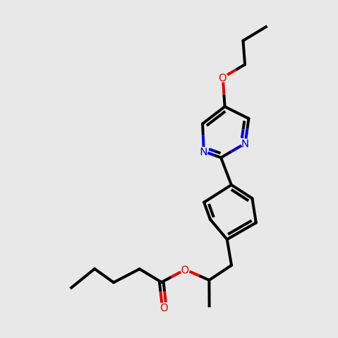 CCCCC(=O)OC(C)Cc1ccc(-c2ncc(OCCC)cn2)cc1